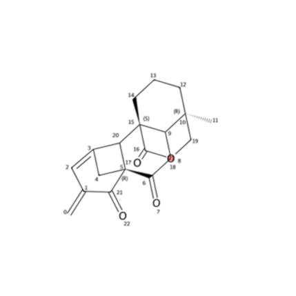 C=C1C=C2C[C@@]3(C(=O)CC4[C@@]5(C)CCC[C@@]4(C(=O)OC5)C23)C1=O